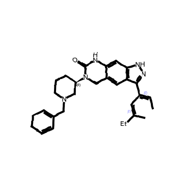 C/C=C(\C=C(/C)CC)c1n[nH]c2cc3c(cc12)CN([C@@H]1CCCN(CC2=CCCC=C2)C1)C(=O)N3